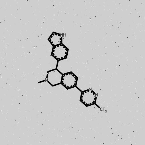 CN1Cc2cc(-c3ccc(C(F)(F)F)nn3)ccc2C(c2ccc3[nH]ccc3c2)C1